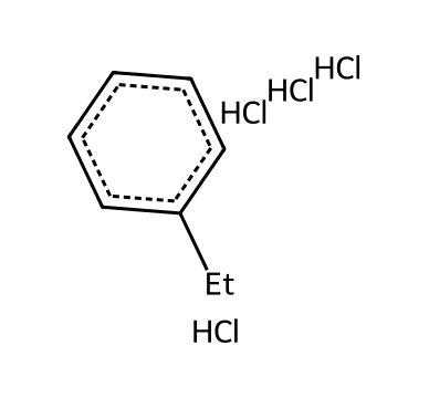 Cl.Cl.Cl.Cl.[C]Cc1ccccc1